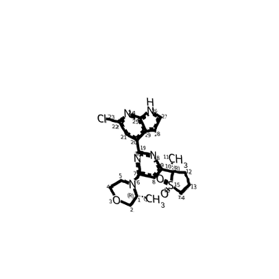 C[C@@H]1COCCN1c1cc([C@@]2(C)CCCS2(=O)=O)nc(-c2cc(Cl)nc3[nH]ccc23)n1